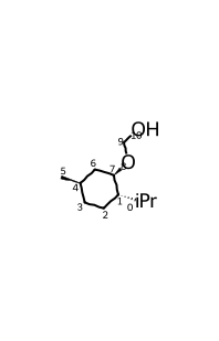 CC(C)[C@@H]1CC[C@@H](C)C[C@H]1OCO